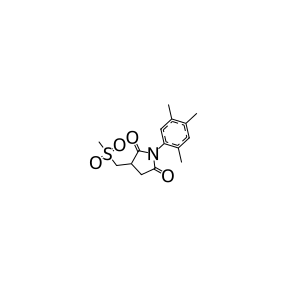 Cc1cc(C)c(N2C(=O)CC(CS(C)(=O)=O)C2=O)cc1C